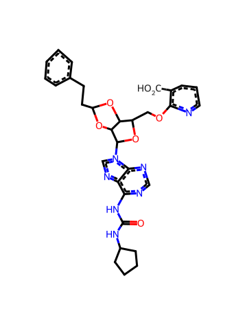 O=C(Nc1ncnc2c1ncn2C1OC(COc2ncccc2C(=O)O)C2OC(CCc3ccccc3)OC21)NC1CCCC1